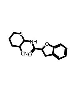 N#CC1CCCSC1NC(=O)C1Cc2ccccc2O1